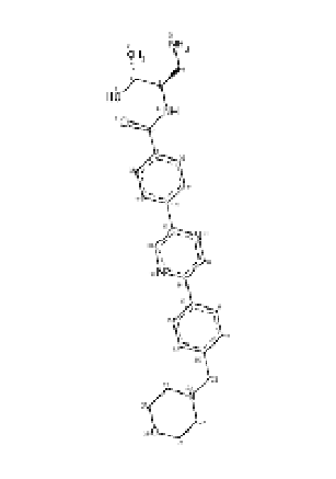 C[C@@H](O)[C@@H](CN)NC(=O)c1ccc(-c2cnc(-c3ccc(CN4CCOCC4)cc3)cn2)cc1